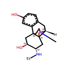 CCN[C@H]1C[C@@]2(O)[C@H]3Cc4ccc(O)cc4[C@@]2(CCN3C)C[C@@H]1O